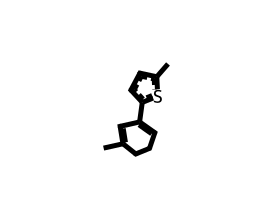 CC1=CC(c2ccc(C)s2)=CCC1